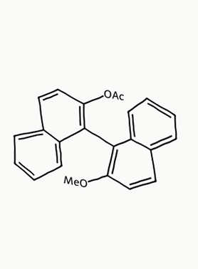 COc1ccc2ccccc2c1-c1c(OC(C)=O)ccc2ccccc12